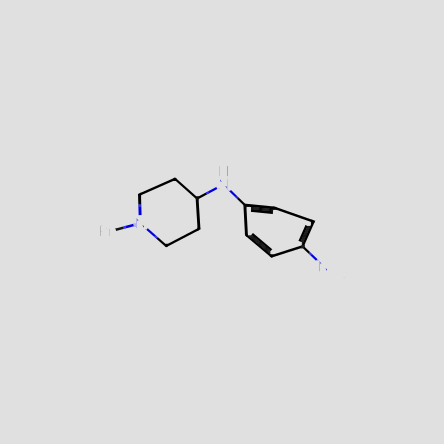 CC(C)N1CCC(Nc2ccc(N)cc2)CC1